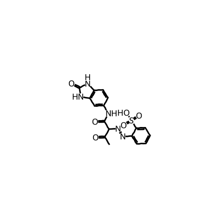 CC(=O)C(N=Nc1ccccc1S(=O)(=O)O)C(=O)Nc1ccc2[nH]c(=O)[nH]c2c1